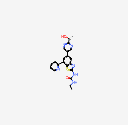 CCNC(=O)Nc1nc2cc(-c3cnc([C@@H](C)O)nc3)cc(-c3ccccn3)c2s1